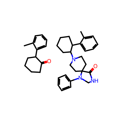 Cc1ccccc1C1CCCCC1=O.Cc1ccccc1C1CCCCC1N1CCC2(CC1)C(=O)NCN2c1ccccc1